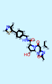 Cc1nc([C@H](C(=O)N2C[C@H](O)C[C@H]2C(=O)NCc2ccc(-c3scnc3C)cc2)C(C)C)no1